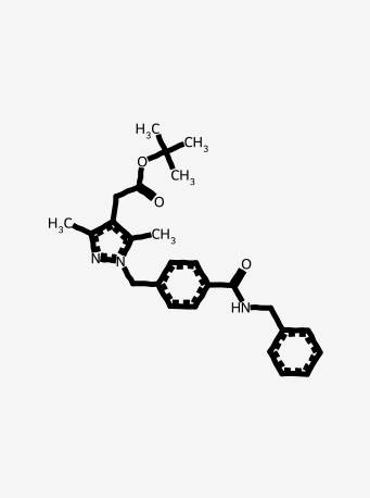 Cc1nn(Cc2ccc(C(=O)NCc3ccccc3)cc2)c(C)c1CC(=O)OC(C)(C)C